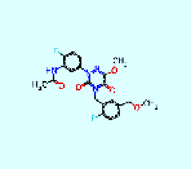 COCc1ccc(F)c(Cn2c(=O)c(OC)nn(-c3ccc(F)c(NC(C)=O)c3)c2=O)c1